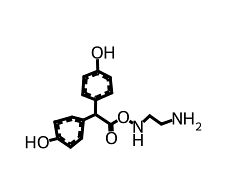 NCCNOC(=O)C(c1ccc(O)cc1)c1ccc(O)cc1